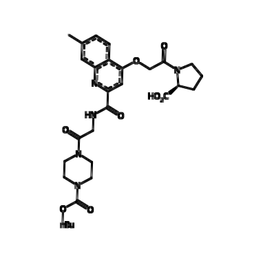 CCCCOC(=O)N1CCN(C(=O)CNC(=O)c2cc(OCC(=O)N3CCC[C@H]3C(=O)O)c3ccc(C)cc3n2)CC1